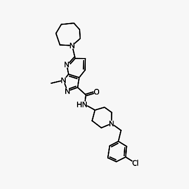 Cn1nc(C(=O)NC2CCN(Cc3cccc(Cl)c3)CC2)c2ccc(N3CCCCCC3)nc21